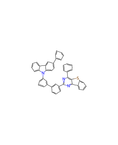 c1ccc(-c2ccc3c(c2)c2ccccc2n3-c2cccc(-c3cccc(-c4nc(-c5ccccc5)c5sc6ccccc6c5n4)c3)c2)cc1